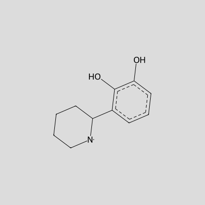 Oc1cccc(C2CCCC[N]2)c1O